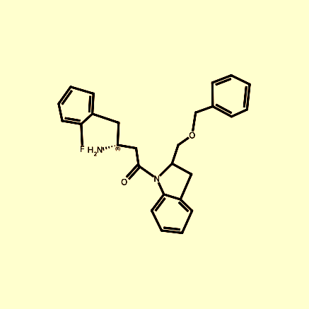 N[C@@H](CC(=O)N1c2ccccc2CC1COCc1ccccc1)Cc1ccccc1F